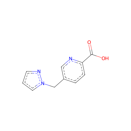 O=C(O)c1ccc(Cn2cccn2)cn1